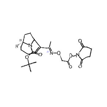 C/C(=N\OCC(=O)ON1C(=O)CCC1=O)C1=CCC[C@H]2CCC1N2C(=O)OC(C)(C)C